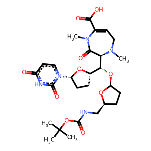 CN1C(=O)[C@H]([C@H](O[C@H]2CC[C@@H](CNC(=O)OC(C)(C)C)O2)[C@@H]2CC[C@H](n3ccc(=O)[nH]c3=O)O2)N(C)CC=C1C(=O)O